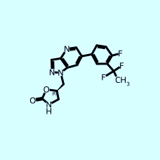 CC(F)(F)c1cc(-c2cnc3cnn(C[C@H]4CNC(=O)O4)c3c2)ccc1F